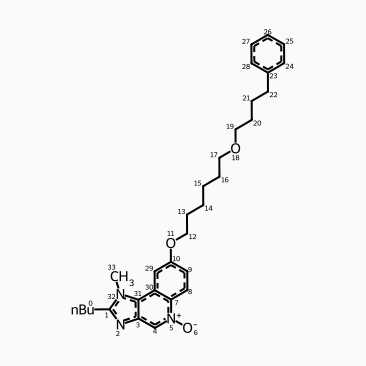 CCCCc1nc2c[n+]([O-])c3ccc(OCCCCCCOCCCCc4ccccc4)cc3c2n1C